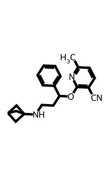 Cc1ccc(C#N)c(OC(CCNC23CC(C2)C3)c2ccccc2)n1